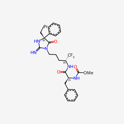 COC(=O)N[C@@H](Cc1ccccc1)C(=O)N[C@H](CCCN1C(=N)N[C@](CC(C)C)(c2ccccc2)C1=O)C(F)(F)F